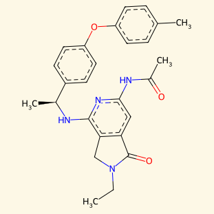 CCN1Cc2c(cc(NC(C)=O)nc2N[C@@H](C)c2ccc(Oc3ccc(C)cc3)cc2)C1=O